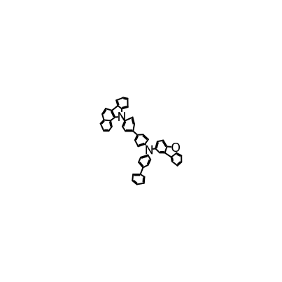 c1ccc(-c2ccc(N(c3ccc(-c4ccc(-n5c6ccccc6c6ccc7ccccc7c65)cc4)cc3)c3ccc4oc5ccccc5c4c3)cc2)cc1